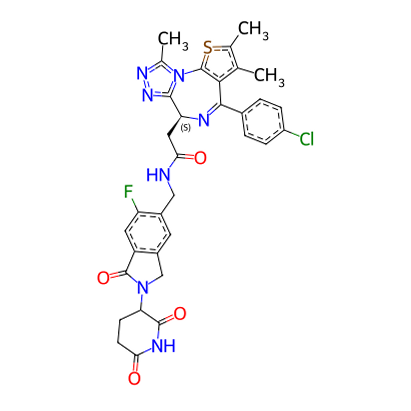 Cc1sc2c(c1C)C(c1ccc(Cl)cc1)=N[C@@H](CC(=O)NCc1cc3c(cc1F)C(=O)N(C1CCC(=O)NC1=O)C3)c1nnc(C)n1-2